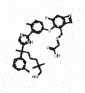 Cc1cccc(C(C)(CCCC(C)(C)CO)c2cnc(-c3cc(Oc4c(F)cc5c(c4CSCC(=O)O)C=N5)ccc3F)[nH]2)c1